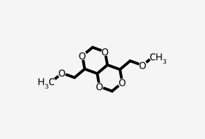 COCC1OCOC2C(COC)OCOC12